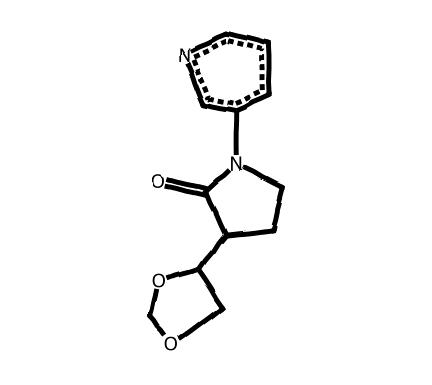 O=C1C(C2COCO2)CCN1c1cccnc1